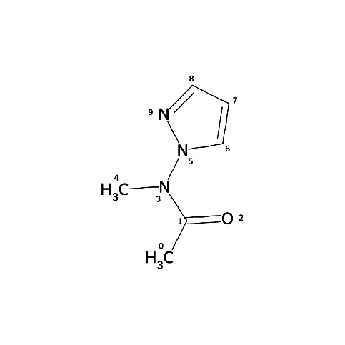 CC(=O)N(C)n1cccn1